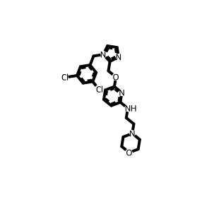 Clc1cc(Cl)cc(Cn2ccnc2COc2cccc(NCCN3CCOCC3)n2)c1